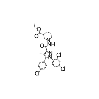 CCOC(=O)C1CCCN(NC(=O)c2nn(-c3ccc(Cl)cc3Cl)c(-c3ccc(Cl)cc3)c2C)C1